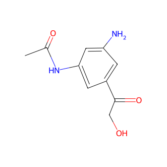 CC(=O)Nc1cc(N)cc(C(=O)CO)c1